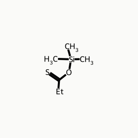 CCC(=S)O[Si](C)(C)C